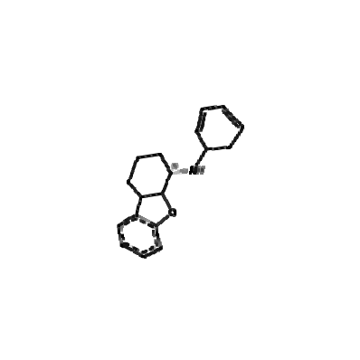 C1=CCC(N[C@H]2CCCC3c4ccccc4OC32)C=C1